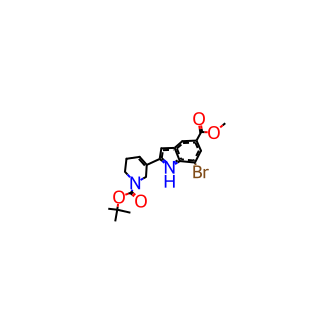 COC(=O)c1cc(Br)c2[nH]c(C3=CCCN(C(=O)OC(C)(C)C)C3)cc2c1